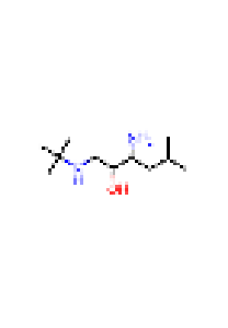 CC(C)CC(N)C(O)CNC(C)(C)C